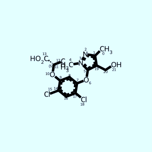 Cc1nn(C)c(Oc2cc(O[C@@H](C)C(=O)O)c(Cl)cc2Cl)c1CO